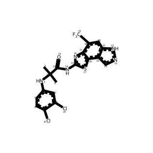 CC(C)(Nc1ccc(Cl)c(Cl)c1)C(=O)Nc1nc2c(C(F)(F)F)cc3[nH]ncc3c2s1